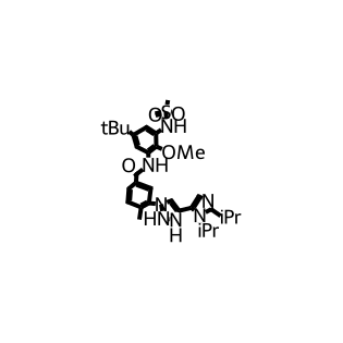 COc1c(NC(=O)c2ccc(C)c(N3C=C(c4cnc(C(C)C)n4C(C)C)NN3)c2)cc(C(C)(C)C)cc1NS(C)(=O)=O